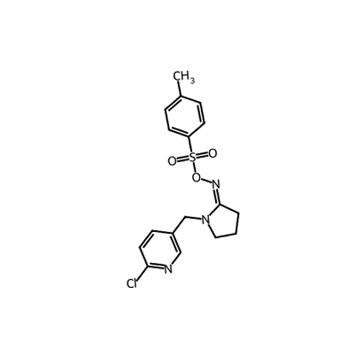 Cc1ccc(S(=O)(=O)ON=C2CCCN2Cc2ccc(Cl)nc2)cc1